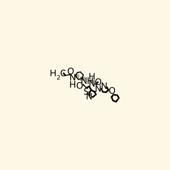 C=CC(=O)N[C@@H]1CCC[C@@H](NC(=O)c2sc3nccc4c3c2NC(=O)N4c2ccc(Oc3ccccc3)cn2)C1